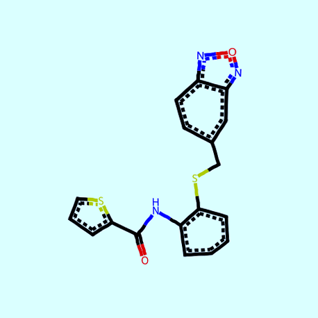 O=C(Nc1ccccc1SCc1ccc2nonc2c1)c1cccs1